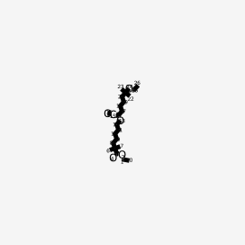 CCOC(=O)C(C)(C)CCCCCOC(=C=O)CCCCC(C)(C)OCC